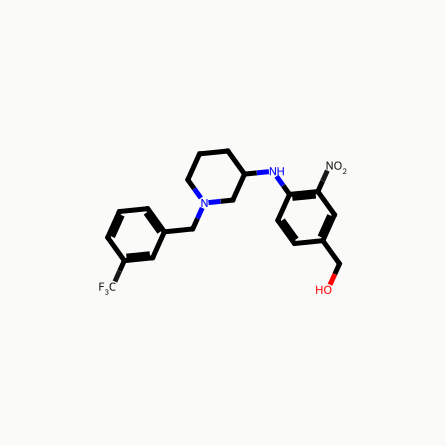 O=[N+]([O-])c1cc(CO)ccc1NC1CCCN(Cc2cccc(C(F)(F)F)c2)C1